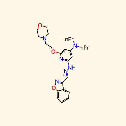 CCCN(CCC)c1cc(N/N=C/c2noc3ccccc23)nc(OCCN2CCOCC2)c1